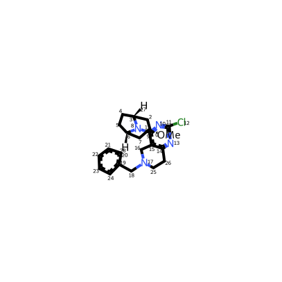 CO[C@H]1C[C@H]2CC[C@@H](C1)N2c1nc(Cl)nc2c1CN(Cc1ccccc1)CC2